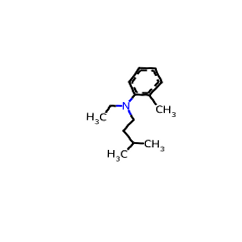 CCN(CCC(C)C)c1ccccc1C